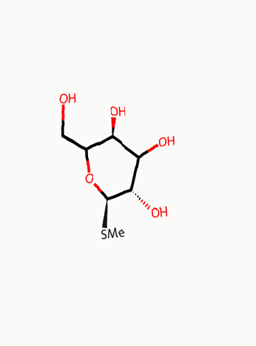 CS[C@H]1OC(CO)[C@@H](O)C(O)[C@@H]1O